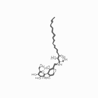 CCCCCCCCCCCCCC[C@@H](O)[C@@H](O)[C@H](CO)NCC1OC[C@@H](O)[C@@H](C2O[C@H](CO)[C@@H](O)[C@H](O)[C@H]2O)[C@@H]1O